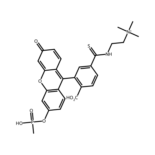 C[N+](C)(C)CCNC(=S)c1ccc(C(=O)O)c(-c2c3ccc(=O)cc-3oc3cc(OP(C)(=O)O)ccc23)c1